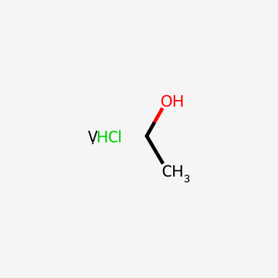 CCO.Cl.[V]